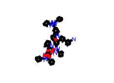 N#Cc1cccc(-c2ccc(-n3c4ccccc4c4cc(-c5nc(-c6ccccc6)nc(-c6ccccc6)n5)ccc43)c(-c3ccc(-n4c5ccccc5c5cc(-c6nc(-c7ccccc7)nc(-c7ccccc7)n6)ccc54)c(-c4nc(-c5ccccc5)nc(-c5ccccc5)n4)c3)c2)c1